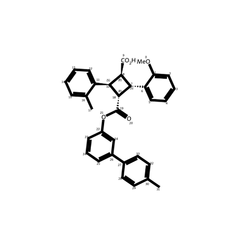 COc1ccccc1[C@H]1[C@H](C(=O)O)[C@H](c2ccccc2C)[C@H]1C(=O)Oc1cccc(-c2ccc(C)cc2)c1